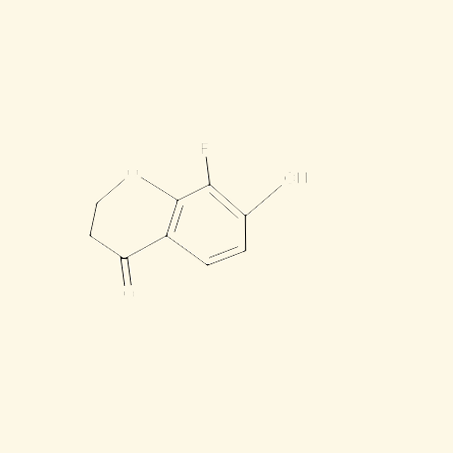 O=C1CCOc2c1ccc(O)c2F